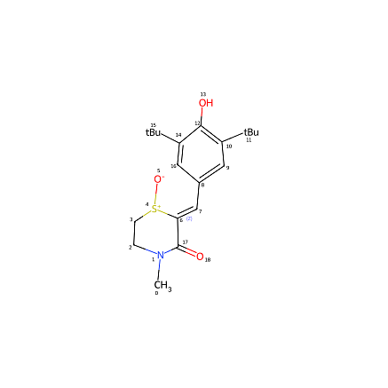 CN1CC[S+]([O-])/C(=C\c2cc(C(C)(C)C)c(O)c(C(C)(C)C)c2)C1=O